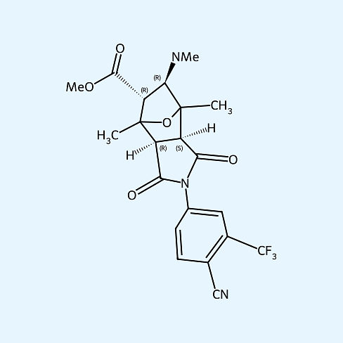 CN[C@@H]1[C@@H](C(=O)OC)C2(C)OC1(C)[C@H]1C(=O)N(c3ccc(C#N)c(C(F)(F)F)c3)C(=O)[C@H]12